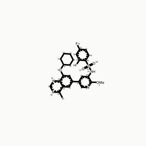 COc1ncc(-c2cc(OC3CCCCC3)c3ncnc(C)c3c2)cc1NS(=O)(=O)c1ccc(F)cc1F